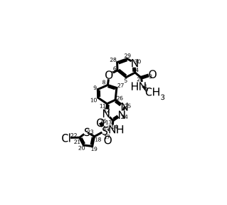 CNC(=O)c1cc(Oc2ccc3nc(NS(=O)(=O)c4ccc(Cl)s4)nnc3c2)ccn1